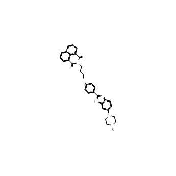 CN1CCN(c2ccc3nc(-c4ccc(OCCCN5C(=O)c6cccc7cccc(c67)C5=O)cc4)[nH]c3c2)CC1